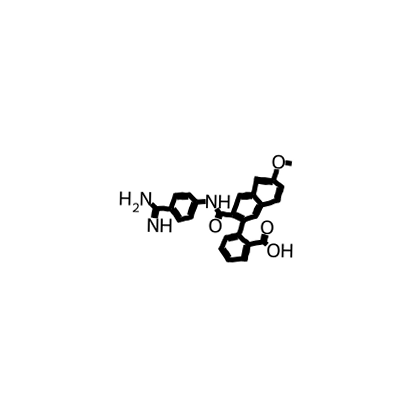 COc1ccc2cc(-c3ccccc3C(=O)O)c(C(=O)Nc3ccc(C(=N)N)cc3)cc2c1